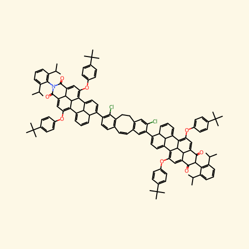 CC(C)c1cccc(C(C)C)c1C1C(=O)C2=CC(Oc3ccc(C(C)(C)C)cc3)=C3C4=CC=CC5C(c6cc7c(cc6Cl)CCc6c(ccc(C8=CC=C9C%10=C(Oc%11ccc(C(C)(C)C)cc%11)C=C%11C(=O)N(c%12c(C(C)C)cccc%12C(C)C)C(=O)C%12=CC(Oc%13ccc(C(C)(C)C)cc%13)=C(C%13=CC=CC8C%139)C%10C%12%11)c6Cl)/C=C\7)=CC=C(C6=C(Oc7ccc(C(C)(C)C)cc7)C=C(C1=O)C2C36)C45